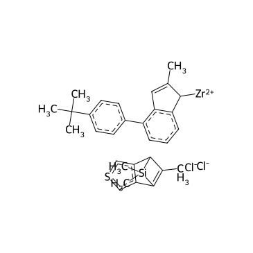 CC1=C2c3cscc3C1[Si]2(C)C.CC1=Cc2c(-c3ccc(C(C)(C)C)cc3)cccc2[CH]1[Zr+2].[Cl-].[Cl-]